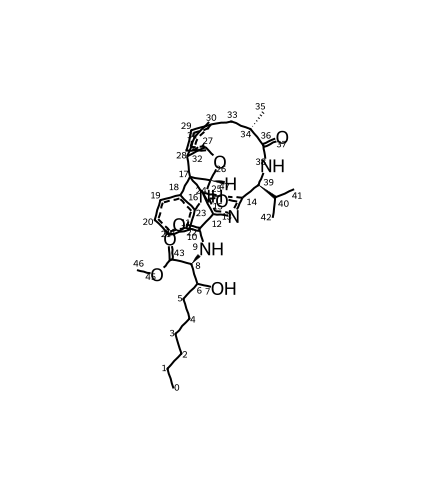 CCCCCCC(O)[C@H](NC(=O)c1nc2oc1C13c4ccccc4N[C@H]1Oc1ccc(cc13)C[C@H](C)C(=O)N[C@H]2C(C)C)C(=O)OC